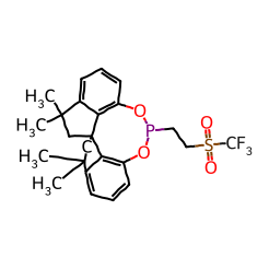 CC1(C)CC23CC(C)(C)c4cccc(c42)OP(CCS(=O)(=O)C(F)(F)F)Oc2cccc1c23